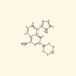 Nc1cc(N2CCOCC2)nc2c(-c3ccn[nH]3)nccc12